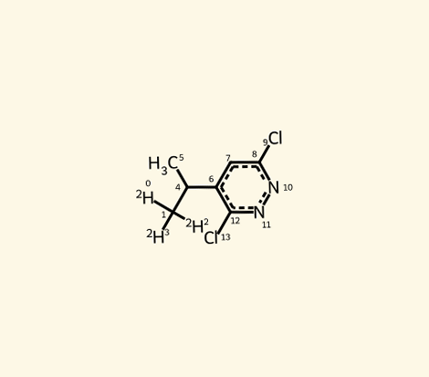 [2H]C([2H])([2H])C(C)c1cc(Cl)nnc1Cl